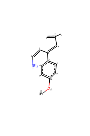 C=C(C)/C=C(\C=C/N)c1ccc(OC(C)C)cc1